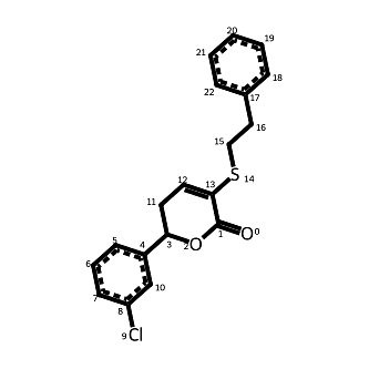 O=C1OC(c2cccc(Cl)c2)CC=C1SCCc1ccccc1